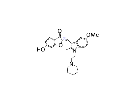 COc1ccc2c(c1)c(/C=C1\Oc3cc(O)ccc3C1=O)c(C)n2CCN1CCCCC1